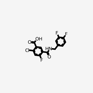 O=C(NCc1ccc(F)c(F)c1)c1cc(C(=O)O)c(Cl)cc1F